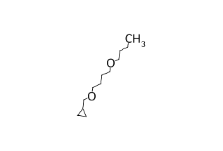 CCCCOCCCCOCC1CC1